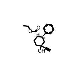 C#CC1(O)CC[C@H](C(=O)OCC)[C@@H](c2ccccc2)C1